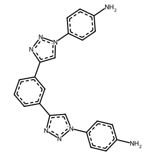 Nc1ccc(-n2cc(-c3cccc(-c4cn(-c5ccc(N)cc5)nn4)c3)nn2)cc1